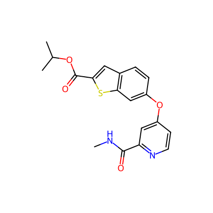 CNC(=O)c1cc(Oc2ccc3cc(C(=O)OC(C)C)sc3c2)ccn1